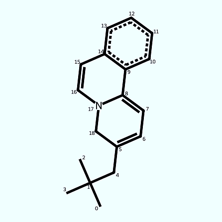 CC(C)(C)CC1=CC=C2c3ccccc3C=CN2C1